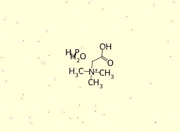 C[N+](C)(C)CC(=O)O.O.P